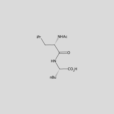 CCCC[C@H](NC(=O)[C@H](CC(C)C)NC(C)=O)C(=O)O